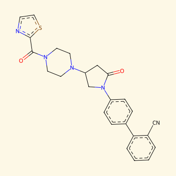 N#Cc1ccccc1-c1ccc(N2CC(N3CCN(C(=O)c4nccs4)CC3)CC2=O)cc1